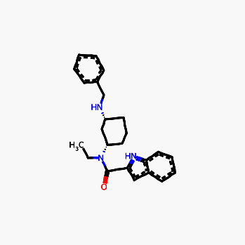 CCN(C(=O)c1cc2ccccc2[nH]1)[C@H]1CCC[C@@H](NCc2ccccc2)C1